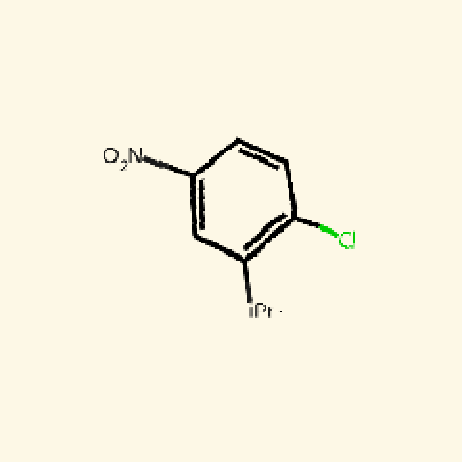 C[C](C)c1cc([N+](=O)[O-])ccc1Cl